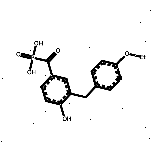 CCOc1ccc(Cc2cc(C(=O)P(=O)(O)O)ccc2O)cc1